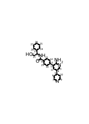 Nc1ncc(-c2ccncc2)cc1-c1ccc(C(=O)NC(CO)c2ccccc2)cc1